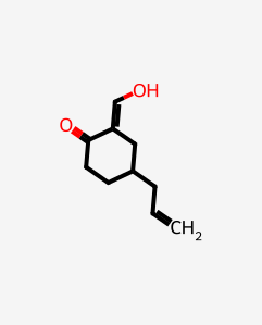 C=CCC1CCC(=O)C(=CO)C1